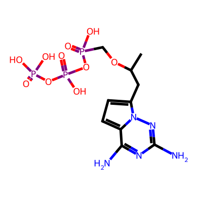 CC(Cc1ccc2c(N)nc(N)nn12)OCP(=O)(O)OP(=O)(O)OP(=O)(O)O